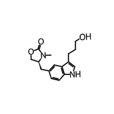 CN1C(=O)OC[C@@H]1Cc1ccc2[nH]cc(CCCO)c2c1